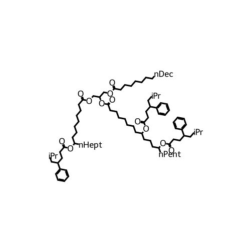 CCCCCCCCCCCCCCCCCC(=O)OCC(COC(=O)CCCCCCCC(CCCCCCC)OC(=O)CCC(CC(C)C)c1ccccc1)OC(=O)CCCCCCCC(CCCC(CCCCC)OC(=O)CCC(CC(C)C)c1ccccc1)OC(=O)CCC(CC(C)C)c1ccccc1